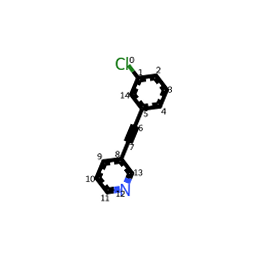 Clc1cccc(C#Cc2cccnc2)c1